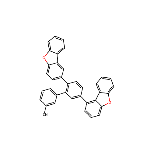 N#Cc1cccc(-c2cc(-c3cccc4oc5ccccc5c34)ccc2-c2ccc3oc4ccccc4c3c2)c1